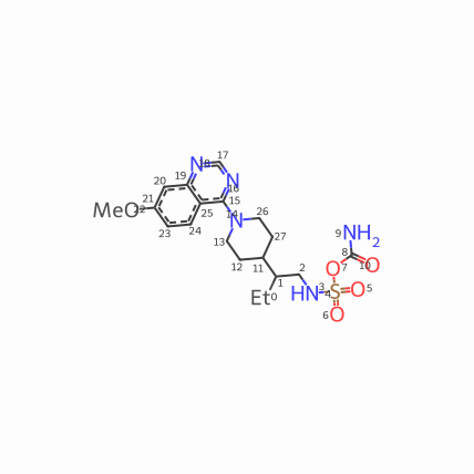 CCC(CNS(=O)(=O)OC(N)=O)C1CCN(c2ncnc3cc(OC)ccc23)CC1